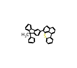 CC1(c2ccccc2)c2ccccc2-c2cc(-c3ccc4cccc5c4c3Sc3ccccc3-5)ccc21